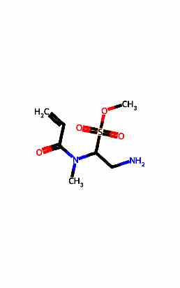 C=CC(=O)N(C)C(CN)S(=O)(=O)OC